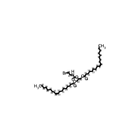 CCCCCCCC/C=C\CCCCCCCC(=O)OCC(COC(=O)CCCCCCC/C=C\CCCCCCCC)OC(=O)NCCBr